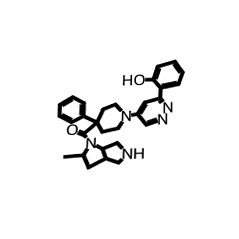 CC1CC2CNCC2N1C(=O)C1(c2ccccc2)CCN(c2cnnc(-c3ccccc3O)c2)CC1